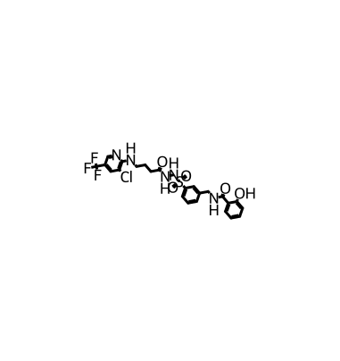 O=C(CCCNc1ncc(C(F)(F)F)cc1Cl)NNS(=O)(=O)c1cccc(CNC(=O)c2ccccc2O)c1